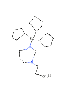 CCOC(=O)CCN1CCCN([Si](C2CCCC2)(C2CCCC2)C2CCCC2)C1